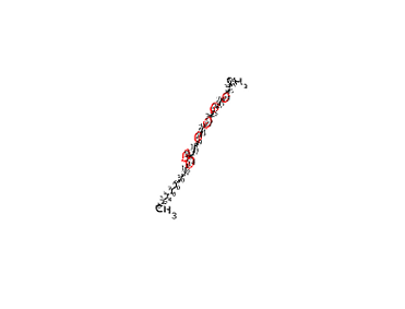 CCCCCCCCCCCCCCOC(=O)CCCOCCOCCOCCOCCCCC